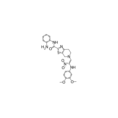 COc1ccc(NC(=CN2CCc3nc(C(=O)Nc4ccccc4N)sc3C2)[N+](=O)[O-])cc1OC